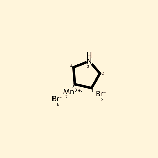 C1CCNC1.[Br-].[Br-].[Mn+2]